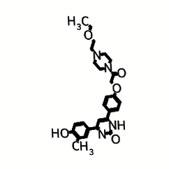 CCOCCN1CCN(C(=O)COc2ccc(-c3cc(-c4ccc(O)c(C)c4)nc(=O)[nH]3)cc2)CC1